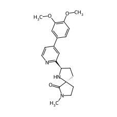 COc1ccc(-c2ccnc([C@H]3CC[C@@]4(CCN(C)C4=O)N3)c2)cc1OC